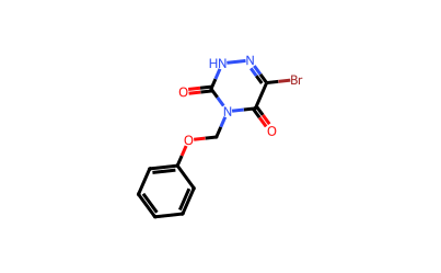 O=c1[nH]nc(Br)c(=O)n1COc1ccccc1